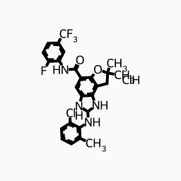 Cc1cccc(Cl)c1NC1Nc2cc(C(=O)Nc3cc(C(F)(F)F)ccc3F)c3c(c2N1)CC(C)(C)O3.Cl